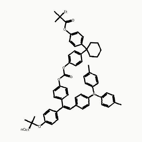 CCCCCCCCC(C)(C)Oc1ccc(C(=Cc2ccc(N(c3ccc(C)cc3)c3ccc(C)cc3)cc2)c2ccc(OC(=O)Oc3ccc(C4(c5ccc(OC(=O)C(C)(C)CC)cc5)CCCCC4)cc3)cc2)cc1